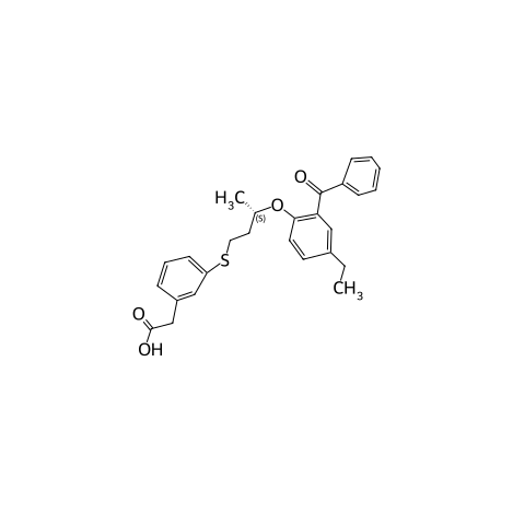 CCc1ccc(O[C@@H](C)CCSc2cccc(CC(=O)O)c2)c(C(=O)c2ccccc2)c1